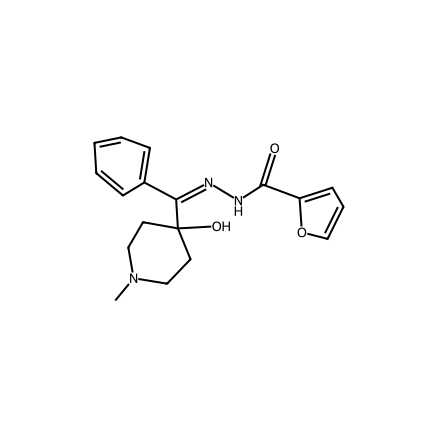 CN1CCC(O)(/C(=N\NC(=O)c2ccco2)c2ccccc2)CC1